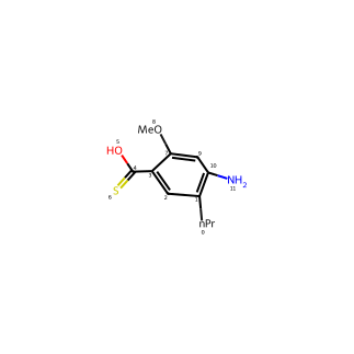 CCCc1cc(C(O)=S)c(OC)cc1N